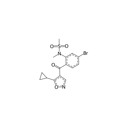 CN(c1cc(Br)ccc1C(=O)c1cnoc1C1CC1)S(C)(=O)=O